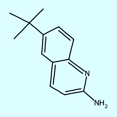 CC(C)(C)c1ccc2nc(N)ccc2c1